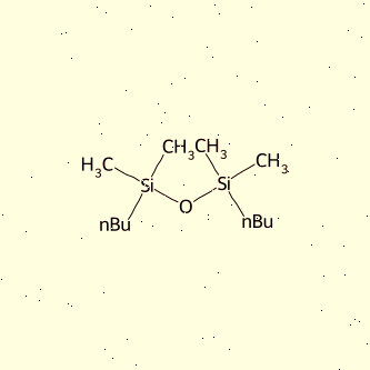 CCCC[Si](C)(C)O[Si](C)(C)CCCC